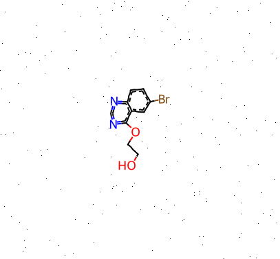 OCCOc1ncnc2ccc(Br)cc12